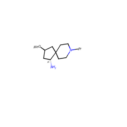 COC1C[C@@H](N)C2(CCN(C(C)C)CC2)C1